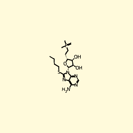 C=P(C)(C)CC[C@H]1O[C@@H](n2c(SCCCC)nc3c(N)ncnc32)[C@H](O)[C@@H]1O